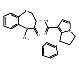 CN1C(=O)[C@@H](NC(=O)c2cnn3c2[C@@H](c2ccccc2)CC3)COc2ccccc21